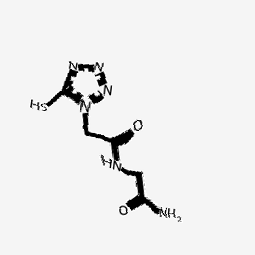 NC(=O)CNC(=O)Cn1nnnc1S